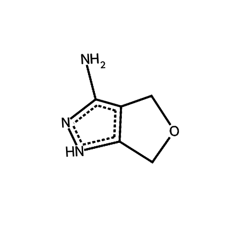 Nc1n[nH]c2c1COC2